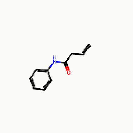 C=CCC(=O)Nc1[c]cccc1